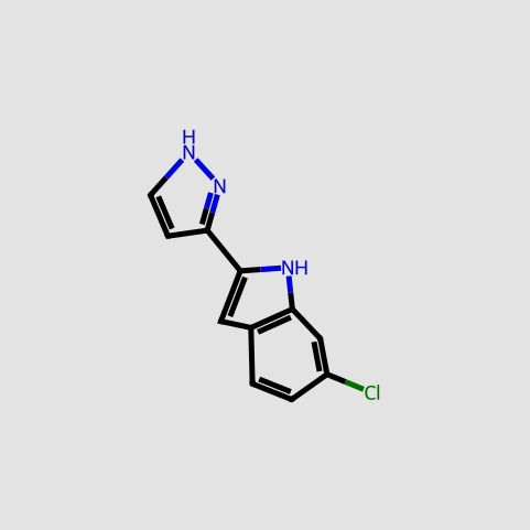 Clc1ccc2cc(-c3cc[nH]n3)[nH]c2c1